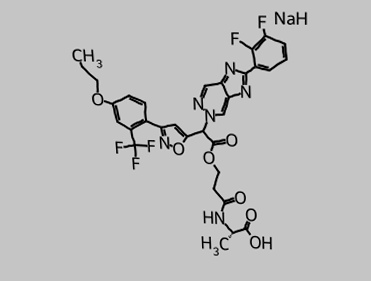 CCCOc1ccc(-c2cc(C(C(=O)OCCC(=O)N[C@@H](C)C(=O)O)n3cc4nc(-c5cccc(F)c5F)nc-4cn3)on2)c(C(F)(F)F)c1.[NaH]